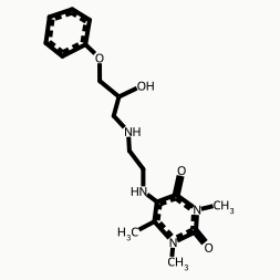 Cc1c(NCCNCC(O)COc2ccccc2)c(=O)n(C)c(=O)n1C